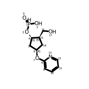 O=[PH](O)O[C@H]1C[C@H](Oc2ccccn2)C[C@@H]1CO